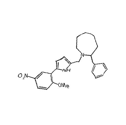 COc1ccc([N+](=O)[O-])cc1-c1ccc(CN2CCCCCC2c2ccccc2)[nH]1